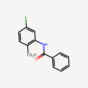 O=C(Nc1cc(F)ccc1C(=O)O)c1ccccc1